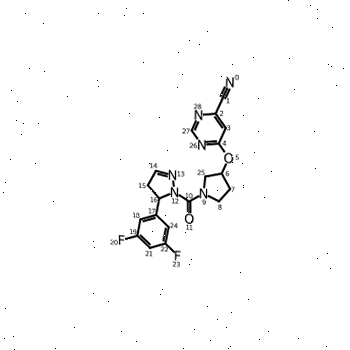 N#Cc1cc(OC2CCN(C(=O)N3N=CCC3c3cc(F)cc(F)c3)C2)ncn1